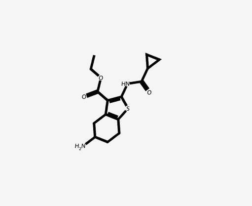 CCOC(=O)c1c(NC(=O)C2CC2)sc2c1CC(N)CC2